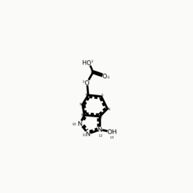 O=C(O)Oc1ccc2c(c1)nnn2O